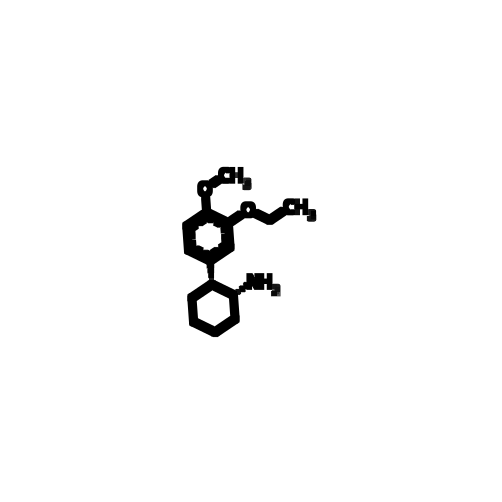 CCOc1cc([C@H]2CCCC[C@H]2N)ccc1OC